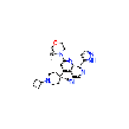 C[C@@H]1COCCN1c1cc(C2(C#N)CCN(C3CCC3)CC2)c2ccnc(-c3ccn[nH]3)c2n1